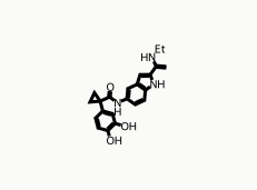 C=C(NCC)c1cc2cc(NC(=O)C3(c4ccc(O)c(O)c4)CC3)ccc2[nH]1